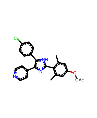 CC(=O)OOc1cc(C)c(-c2nc(-c3ccncc3)c(-c3ccc(Cl)cc3)[nH]2)c(C)c1